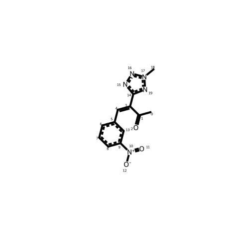 CC(=O)C(=Cc1cccc([N+](=O)[O-])c1)c1nnn(C)n1